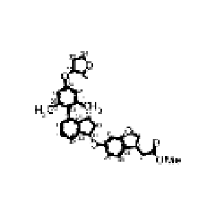 COC(=O)CC1COc2cc(O[C@@H]3CCc4c(-c5c(C)cc(OC6CCOC6)cc5C)cccc43)ccc21